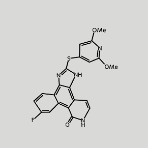 COc1cc(Sc2nc3c4ccc(F)cc4c4c(=O)[nH]ccc4c3[nH]2)cc(OC)n1